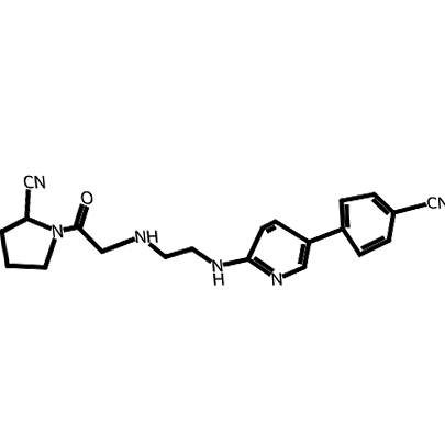 N#Cc1ccc(-c2ccc(NCCNCC(=O)N3CCCC3C#N)nc2)cc1